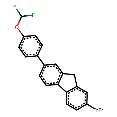 CCCc1ccc2c(c1)Cc1cc(-c3ccc(OC(F)F)cc3)ccc1-2